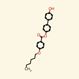 CCCCCCOc1ccc(C(=O)Oc2ccc(-c3ccc(O)cc3)cc2)cc1